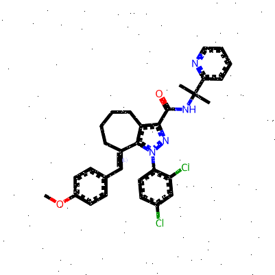 COc1ccc(/C=C2\CCCCc3c(C(=O)NC(C)(C)c4ccccn4)nn(-c4ccc(Cl)cc4Cl)c32)cc1